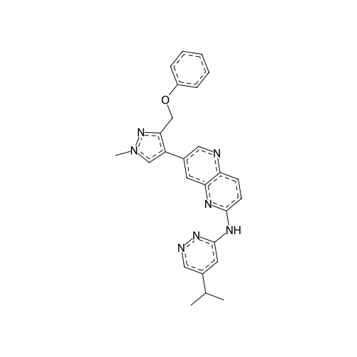 CC(C)c1cnnc(Nc2ccc3ncc(-c4cn(C)nc4COc4ccccc4)cc3n2)c1